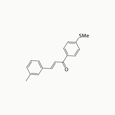 CSc1ccc(C(=O)C=Cc2cccc(C)c2)cc1